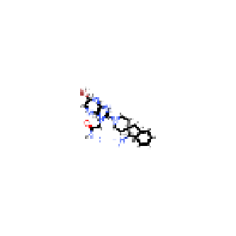 NC(=O)Cn1c(N2CCC3(CC2)Cc2ccccc2[C@H]3N)nc2nc(Br)cnc21